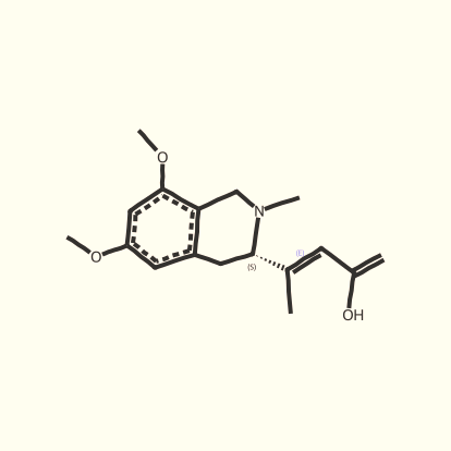 C=C(O)/C=C(\C)[C@@H]1Cc2cc(OC)cc(OC)c2CN1C